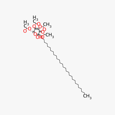 CCCCCCCCCCCCCCCCCCCCCCCCCCCCCC[C@@]1(O)O[C@H](COC(C)=O)[C@@H](OC(C)=O)[C@H](OC(C)=O)[C@H]1OC(C)=O